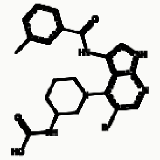 Cc1cccc(C(=O)Nc2c[nH]c3ncc(Br)c(N4CCCC(NC(=O)O)C4)c23)c1